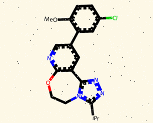 COc1ccc(Cl)cc1-c1cnc2c(c1)-c1nnc(C(C)C)n1CCO2